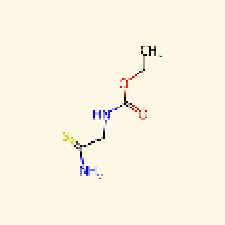 CCOC(=O)NCC(N)=S